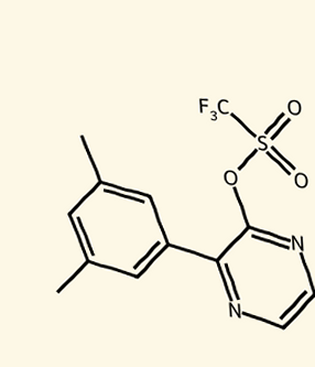 Cc1cc(C)cc(-c2nccnc2OS(=O)(=O)C(F)(F)F)c1